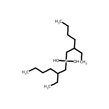 CCCCC(CC)CS(O)(O)CC(CC)CCCC